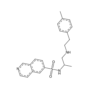 Cc1ccc(CCNCC(C)NS(=O)(=O)c2ccc3cnccc3c2)cc1